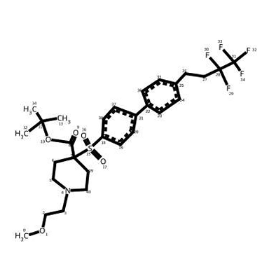 COCCN1CCC(C(=O)OC(C)(C)C)(S(=O)(=O)c2ccc(-c3ccc(CCC(F)(F)C(F)(F)F)cc3)cc2)CC1